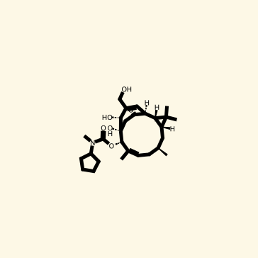 C/C1=C/C[C@H](C)C[C@@H]2[C@H]([C@@H]3C=C(CO)[C@@H](O)[C@@](O)(CC3=O)[C@H]1OC(=O)N(C)C1CCCC1)C2(C)C